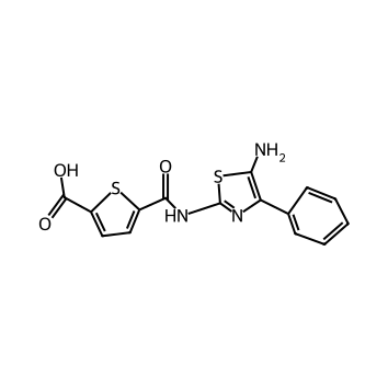 Nc1sc(NC(=O)c2ccc(C(=O)O)s2)nc1-c1ccccc1